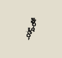 C[C@H](NC(=O)c1cc(-c2ccc3nc(N)nn3c2)cs1)c1ccc(F)cc1